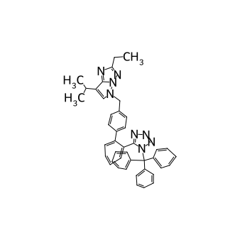 CCc1nc2c(C(C)C)cn(Cc3ccc(-c4ccccc4-c4nnnn4C(c4ccccc4)(c4ccccc4)c4ccccc4)cc3)n2n1